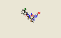 Cc1nc(C(=O)NCCO)c(-c2csc(NC(=O)Cc3c(F)cccc3F)n2)s1